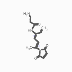 C=C/C(=C\C=C(/C)N1C(=O)C=CC1=O)NC(=O)CCN